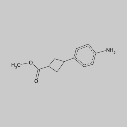 COC(=O)C1CC(c2ccc(N)cc2)C1